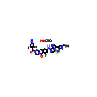 Cc1cc(Nc2nccn3c(-c4cn(CC#N)nc4C(F)(F)F)cnc23)cc(F)c1C(=O)N1CCN(C(=O)C2[C@H]3CNC[C@@H]23)CC1.O=CO